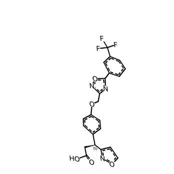 O=C(O)C[C@@H](c1ccc(OCc2noc(-c3cccc(C(F)(F)F)c3)n2)cc1)c1ccon1